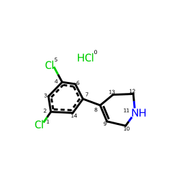 Cl.Clc1cc(Cl)cc(C2=CCNCC2)c1